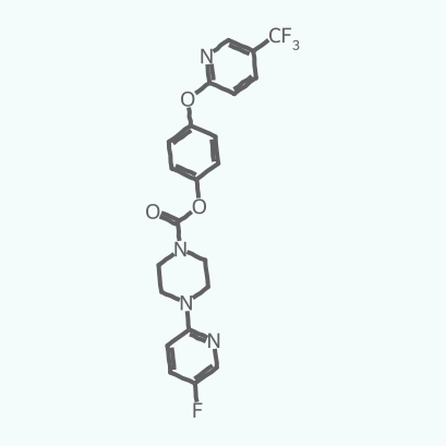 O=C(Oc1ccc(Oc2ccc(C(F)(F)F)cn2)cc1)N1CCN(c2ccc(F)cn2)CC1